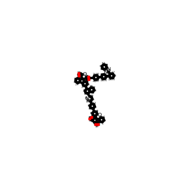 c1ccc2c(c1)Oc1cc(-c3ccc(-c4ccc(-c5ccc(-c6ccc7c(c6)-c6ccccc6C76c7ccccc7Oc7cc(-c8ccc(-c9ccc%10c%11ccccc%11c%11nc%12ccccc%12n%11c%10c9)cc8)ccc76)c6ccccc56)nn4)cc3)ccc1C21c2ccccc2-c2ccccc21